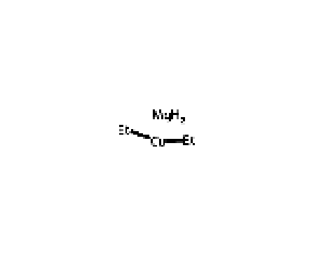 C[CH2][Cu][CH2]C.[MgH2]